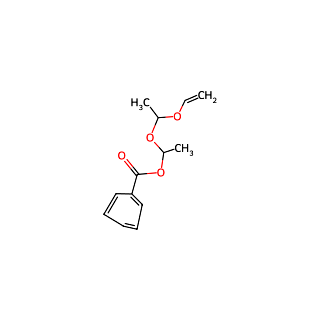 C=COC(C)OC(C)OC(=O)c1ccccc1